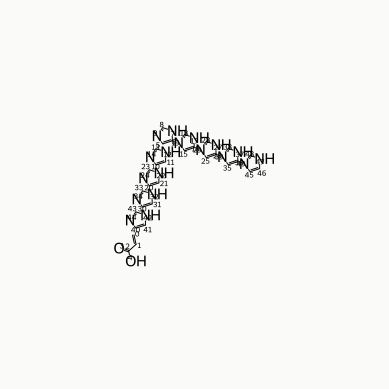 C=CC(=O)O.c1c[nH]cn1.c1c[nH]cn1.c1c[nH]cn1.c1c[nH]cn1.c1c[nH]cn1.c1c[nH]cn1.c1c[nH]cn1.c1c[nH]cn1.c1c[nH]cn1